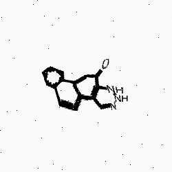 O=C1C=C2c3ccccc3C=CC2C2=C1NNN=C2